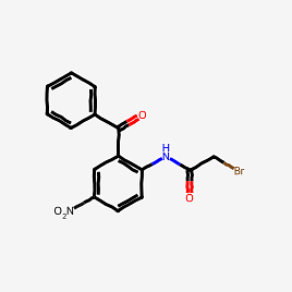 O=C(CBr)Nc1ccc([N+](=O)[O-])cc1C(=O)c1ccccc1